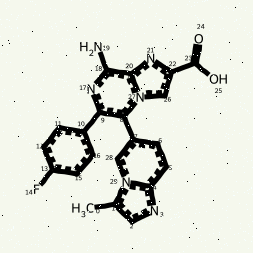 Cc1cnc2ccc(-c3c(-c4ccc(F)cc4)nc(N)c4nc(C(=O)O)cn34)cn12